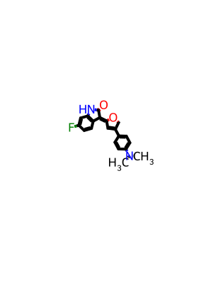 CN(C)c1ccc(C2=CC(=C3C(=O)Nc4cc(F)ccc43)OC2)cc1